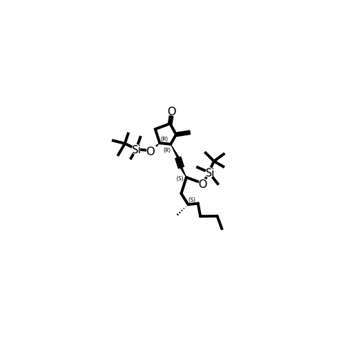 C=C1C(=O)C[C@@H](O[Si](C)(C)C(C)(C)C)[C@@H]1C#C[C@H](C[C@@H](C)CCCC)O[Si](C)(C)C(C)(C)C